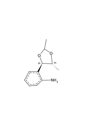 [CH2][C@H]1OC(C)O[C@@H]1c1ccccc1N